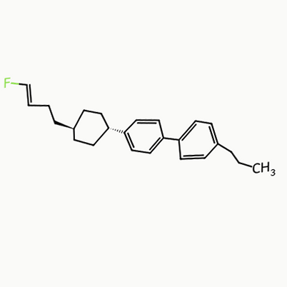 CCCc1ccc(-c2ccc([C@H]3CC[C@H](CC/C=C/F)CC3)cc2)cc1